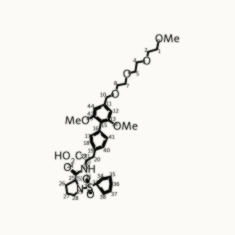 COCCOCCOCCOCc1cc(OC)c(-c2ccc(C[C@H](NC(=O)[C@@H]3CCCN3S(=O)(=O)c3ccccc3)C(=O)O)cc2)c(OC)c1